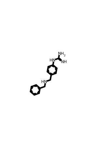 N=C(N)Nc1ccc(CNCc2ccccc2)cc1